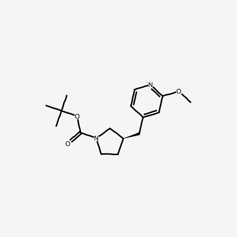 COc1cc(C[C@H]2CCN(C(=O)OC(C)(C)C)C2)ccn1